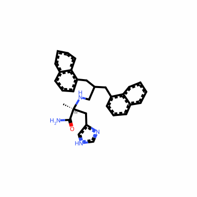 C[C@@](Cc1c[nH]cn1)(NCC(Cc1cccc2ccccc12)Cc1cccc2ccccc12)C(N)=O